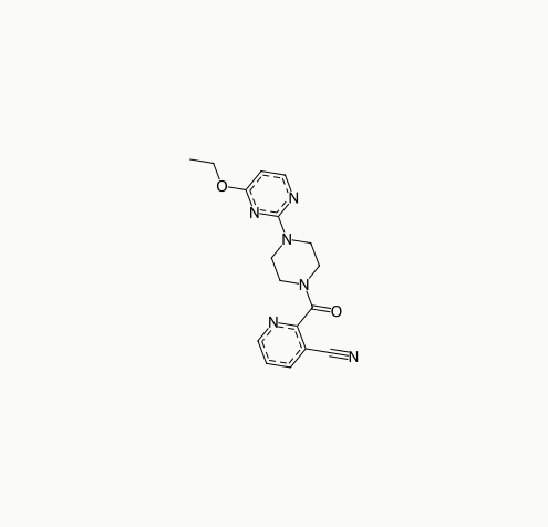 CCOc1ccnc(N2CCN(C(=O)c3ncccc3C#N)CC2)n1